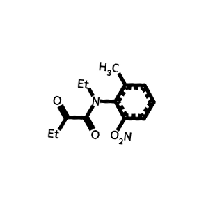 CCC(=O)C(=O)N(CC)c1c(C)cccc1[N+](=O)[O-]